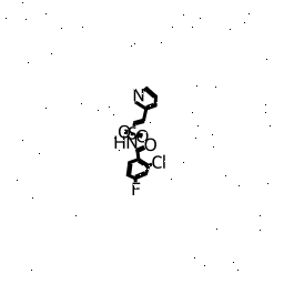 O=C(NS(=O)(=O)C=Cc1cccnc1)c1ccc(F)cc1Cl